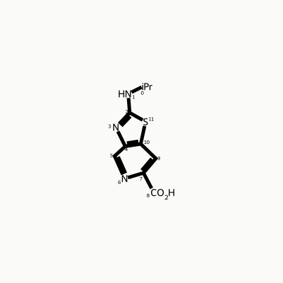 CC(C)Nc1nc2cnc(C(=O)O)cc2s1